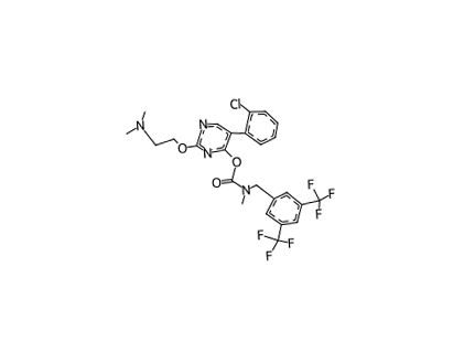 CN(C)CCOc1ncc(-c2ccccc2Cl)c(OC(=O)N(C)Cc2cc(C(F)(F)F)cc(C(F)(F)F)c2)n1